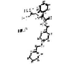 CC(C)n1nc(C(=O)NCC2CCN(CCC3CCCCN3)CC2)c2ccccc21.Cl